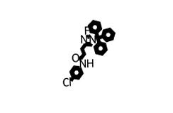 O=C(CCc1cn(C(c2ccccc2)(c2ccccc2)c2ccccc2)c(F)n1)Nc1ccc(Cl)cc1